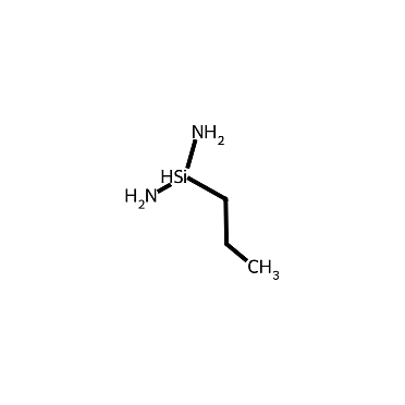 CCC[SiH](N)N